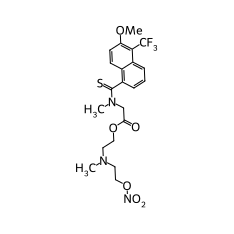 COc1ccc2c(C(=S)N(C)CC(=O)OCCN(C)CCO[N+](=O)[O-])cccc2c1C(F)(F)F